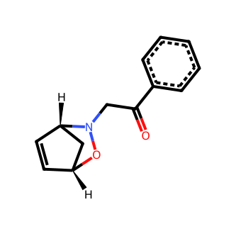 O=C(CN1O[C@@H]2C=C[C@H]1C2)c1ccccc1